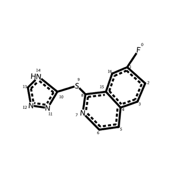 Fc1ccc2ccnc(Sc3nnc[nH]3)c2c1